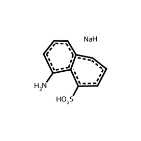 Nc1cccc2cccc(S(=O)(=O)O)c12.[NaH]